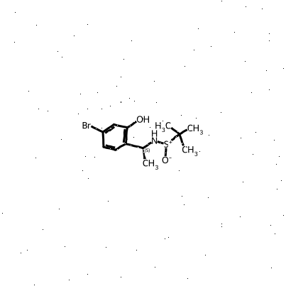 C[C@H](N[S+]([O-])C(C)(C)C)c1ccc(Br)cc1O